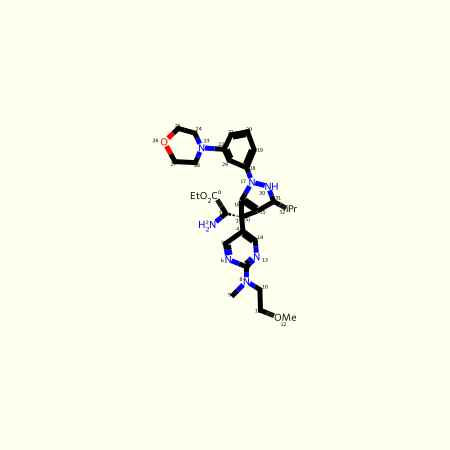 CCOC(=O)C(N)[C@@]1(c2cnc(N(C)CCOC)nc2)C2=C1N(c1cccc(N3CCOCC3)c1)NC2C(C)C